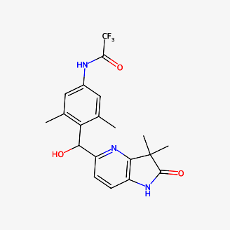 Cc1cc(NC(=O)C(F)(F)F)cc(C)c1C(O)c1ccc2c(n1)C(C)(C)C(=O)N2